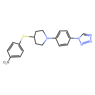 O=[N+]([O-])c1ccc(SC2CCN(c3[c]cc(-n4cnnn4)cc3)CC2)cc1